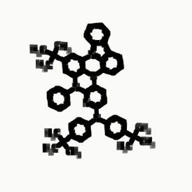 CC(C)(C)c1ccc(N(c2ccc(C(C)(C)C)cc2)c2ccc3c(n2)N(c2ccccc2)c2cc(C(C)(C)C)cc4c2B3c2cccc3c5ccccc5n-4c23)cc1